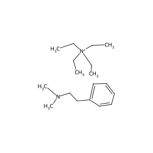 CC[N+](CC)(CC)CC.CN(C)CCc1ccccc1